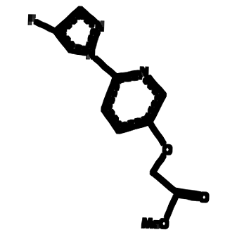 COC(=O)COc1ccc(-n2cc(F)cn2)nc1